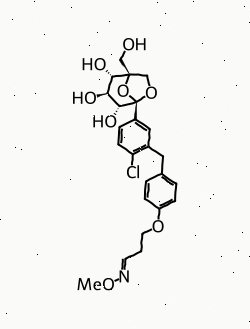 CON=CCCOc1ccc(Cc2cc([C@]34OC[C@](CO)(O3)[C@@H](O)[C@H](O)[C@H]4O)ccc2Cl)cc1